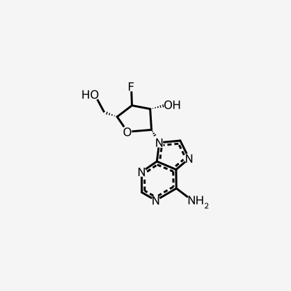 Nc1ncnc2c1ncn2[C@@H]1O[C@H](CO)C(F)[C@@H]1O